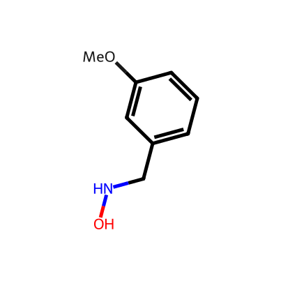 COc1cccc(CNO)c1